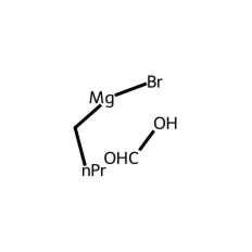 CCC[CH2][Mg][Br].O=CO